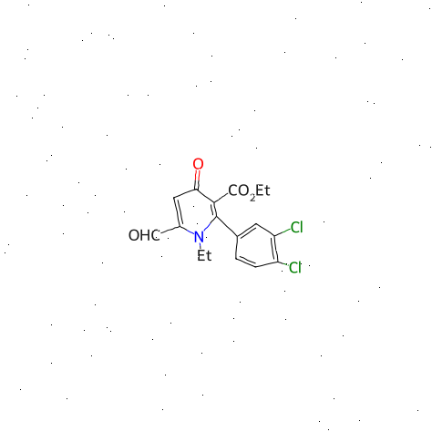 CCOC(=O)c1c(-c2ccc(Cl)c(Cl)c2)n(CC)c(C=O)cc1=O